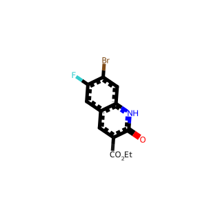 CCOC(=O)c1cc2cc(F)c(Br)cc2[nH]c1=O